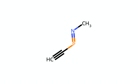 C#CP=NC